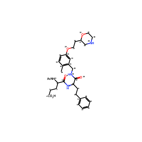 CC(=O)NC(CCC(=O)O)C(=O)NC(CCc1ccccc1)C(=O)NCc1cc(OCCC2CNCCO2)ccc1C